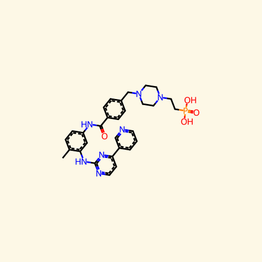 Cc1ccc(NC(=O)c2ccc(CN3CCN(CCP(=O)(O)O)CC3)cc2)cc1Nc1nccc(-c2cccnc2)n1